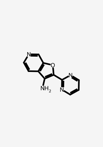 Nc1c(-c2ncccn2)oc2cnccc12